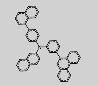 c1cc(-c2cc3ccccc3c3ccccc23)cc(N(c2ccc(-c3cccc4ccccc34)cc2)c2ccc3ccccc3c2)c1